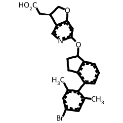 Cc1cc(Br)cc(C)c1-c1cccc2c1CCC2Oc1cc2c(cn1)[C@@H](CC(=O)O)CO2